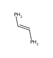 PC=CP